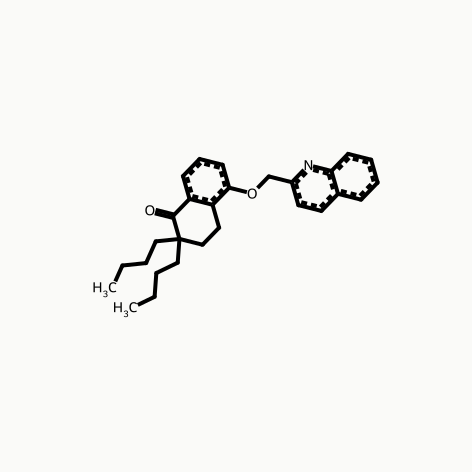 CCCCC1(CCCC)CCc2c(OCc3ccc4ccccc4n3)cccc2C1=O